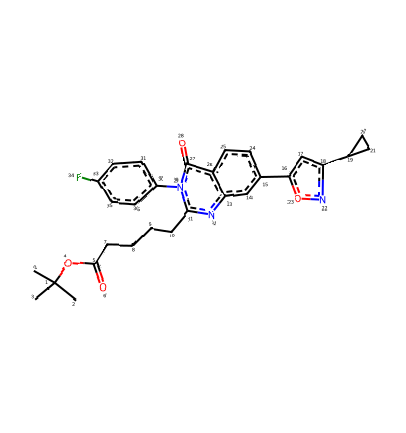 CC(C)(C)OC(=O)CCCCc1nc2cc(-c3cc(C4CC4)no3)ccc2c(=O)n1-c1ccc(F)cc1